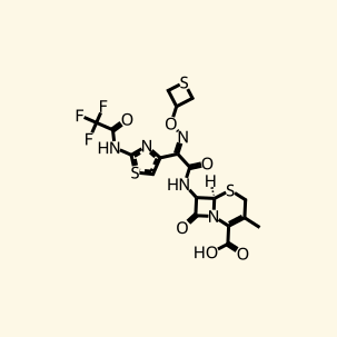 CC1=C(C(=O)O)N2C(=O)C(NC(=O)/C(=N/OC3CSC3)c3csc(NC(=O)C(F)(F)F)n3)[C@H]2SC1